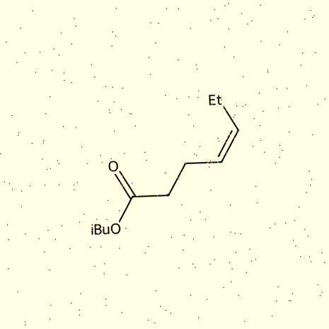 CC/C=C\CCC(=O)OCC(C)C